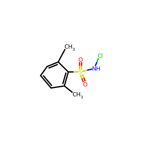 Cc1cccc(C)c1S(=O)(=O)NCl